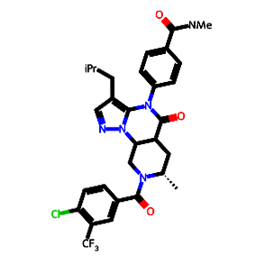 CNC(=O)c1ccc(N2C(=O)C3C[C@H](C)N(C(=O)c4ccc(Cl)c(C(F)(F)F)c4)CC3n3ncc(CC(C)C)c32)cc1